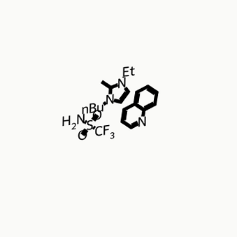 CCCCN1C=CN(CC)C1C.NS(=O)(=O)C(F)(F)F.c1ccc2ncccc2c1